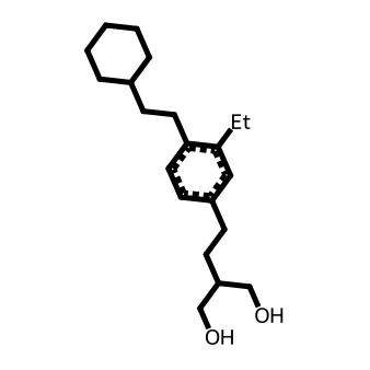 CCc1cc(CCC(CO)CO)ccc1CCC1CCCCC1